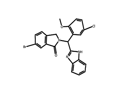 COc1ccc(Cl)cc1C(c1nc2ccccc2[nH]1)N1Cc2ccc(Br)cc2C1=O